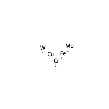 [Cr].[Cu].[Fe].[Mo].[W]